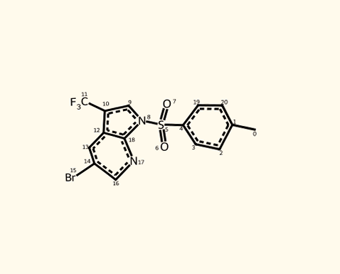 Cc1ccc(S(=O)(=O)n2cc(C(F)(F)F)c3cc(Br)cnc32)cc1